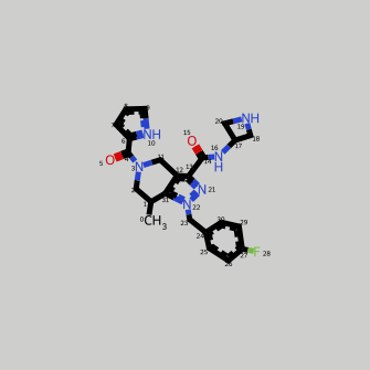 CC1CN(C(=O)c2ccc[nH]2)Cc2c(C(=O)NC3CNC3)nn(Cc3ccc(F)cc3)c21